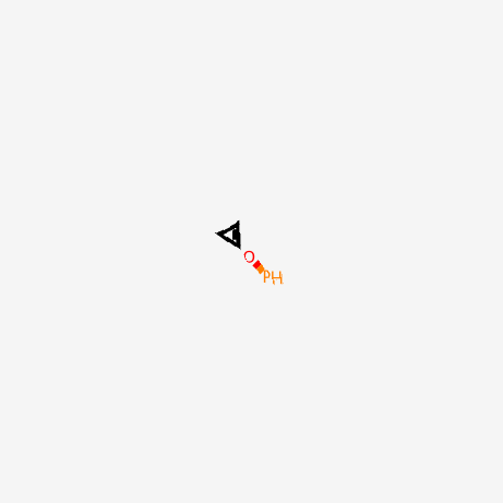 C1=CC1.O=P